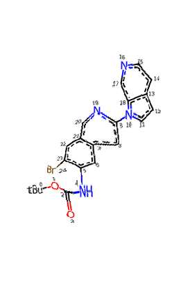 CC(C)(C)OC(=O)Nc1cc2cc(-n3ccc4ccncc43)ncc2cc1Br